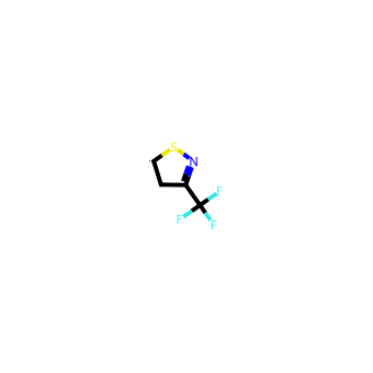 FC(F)(F)C1=NS[CH]C1